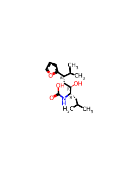 CC(C)C[C@H](NC(=O)O)[C@@H](O)C[C@H](c1ccco1)C(C)C